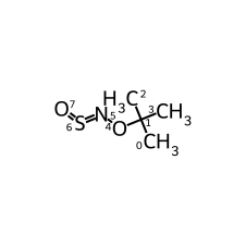 CC(C)(C)ON=S=O